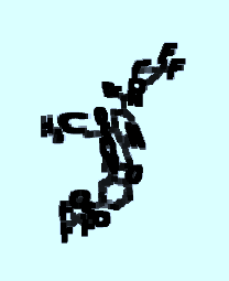 CCS(=O)(=O)c1cc(C(Br)=NOCC(F)(F)F)cnc1-c1nc2cc(S(=O)(=O)C(F)(F)F)ccc2o1